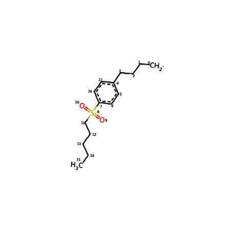 [CH2]CCCc1ccc(S(=O)(=O)CCCCC)cc1